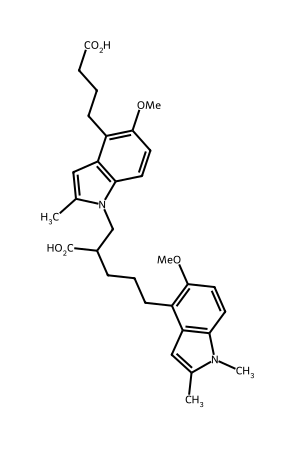 COc1ccc2c(cc(C)n2C)c1CCCC(Cn1c(C)cc2c(CCCC(=O)O)c(OC)ccc21)C(=O)O